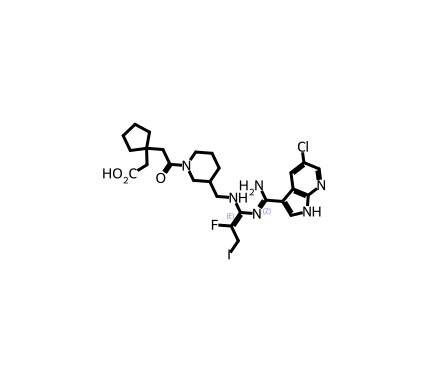 N/C(=N\C(NCC1CCCN(C(=O)CC2(CC(=O)O)CCCC2)C1)=C(\F)CI)c1c[nH]c2ncc(Cl)cc12